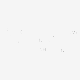 COc1c(C)cnc(C[S+]([O-])c2nc3cc(OC(=O)c4cccs4)ccc3[nH]2)c1C